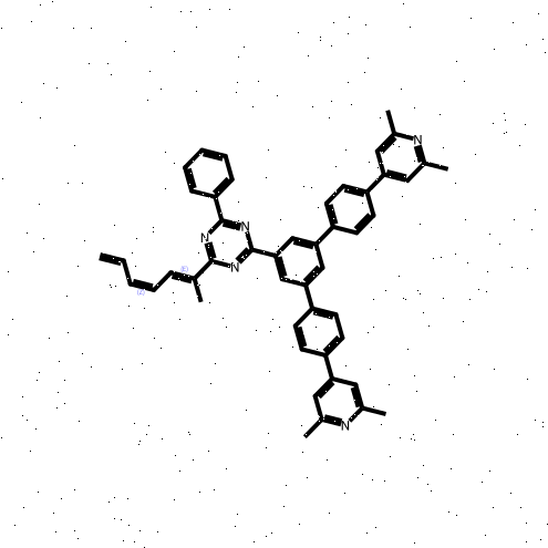 C=C/C=C\C=C(/C)c1nc(-c2ccccc2)nc(-c2cc(-c3ccc(-c4cc(C)nc(C)c4)cc3)cc(-c3ccc(-c4cc(C)nc(C)c4)cc3)c2)n1